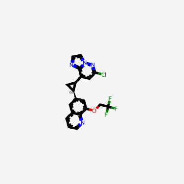 FC(F)(F)COc1cc([C@H]2CC2c2cc(Cl)nn3ccnc23)cc2cccnc12